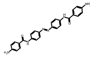 Nc1ccc(C(=O)Nc2ccc(N=Nc3ccc(NC(=O)c4ccc(N)cc4)cc3)cc2)cc1